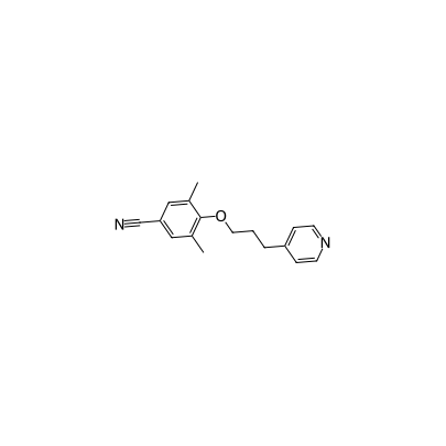 Cc1cc(C#N)cc(C)c1OCCCc1ccncc1